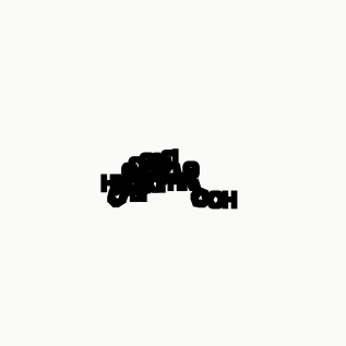 O=C(NCc1cccc(O)c1)c1cc(Cl)c(C(=O)CC(NC(=O)c2[nH]c3ccccc3c2Br)C(=O)O)c(Cl)c1